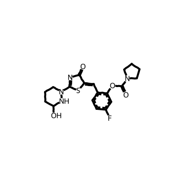 O=C1N=C(N2CCCC(O)N2)S/C1=C\c1ccc(F)cc1OC(=O)N1CCCC1